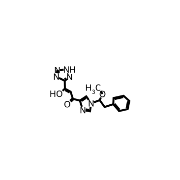 COC(Cc1ccccc1)n1cnc(C(=O)C=C(O)c2nn[nH]n2)c1